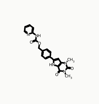 Cn1c(=O)c2[nH]c(-c3ccc(COC(=O)Nc4ccccn4)cc3)cc2n(C)c1=O